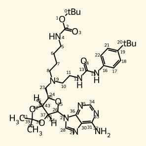 CC(C)(C)OC(=O)NCCCCN(CCNC(=O)Nc1ccc(C(C)(C)C)cc1)C[C@H]1OC(n2cnc3c(N)ncnc32)[C@@H]2OC(C)(C)O[C@H]12